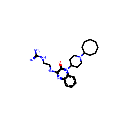 N=C(N)NCCNc1nc2ccccc2n(C2CCN(C3CCCCCCC3)CC2)c1=O